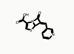 O=C(O)C1=CSC2C(=Cc3cccnc3)C(=O)N12